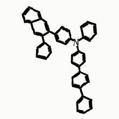 c1ccc(-c2ccc(-c3ccc(N(c4ccccc4)c4ccc(-c5cc6ccccc6cc5-c5ccccc5)cc4)cc3)cc2)cc1